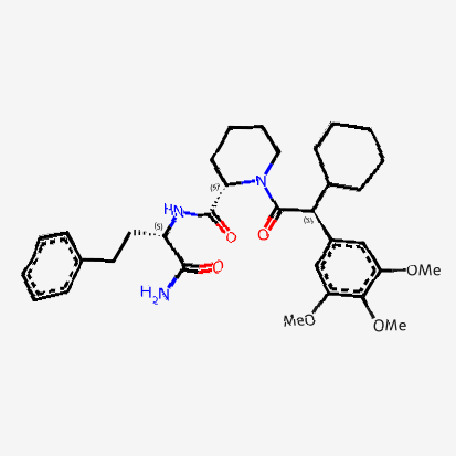 COc1cc([C@@H](C(=O)N2CCCC[C@H]2C(=O)N[C@@H](CCc2ccccc2)C(N)=O)C2CCCCC2)cc(OC)c1OC